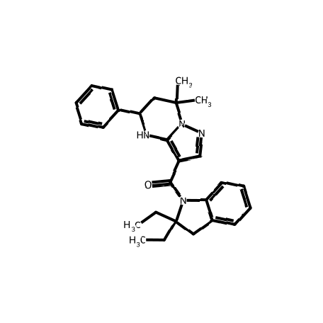 CCC1(CC)Cc2ccccc2N1C(=O)c1cnn2c1NC(c1ccccc1)CC2(C)C